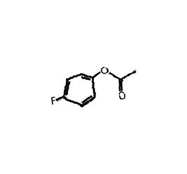 CC(=O)Oc1ccc(F)cc1